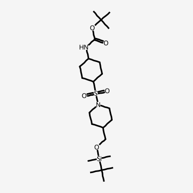 CC(C)(C)OC(=O)NC1CCC(S(=O)(=O)N2CCC(CO[Si](C)(C)C(C)(C)C)CC2)CC1